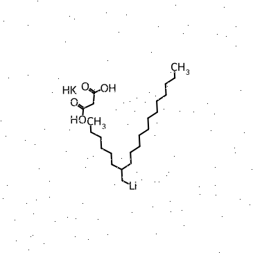 O=C(O)CC(=O)O.[KH].[Li][CH2]C(CCCCCC)CCCCCCCCCCCC